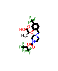 CC(Oc1cc(C(F)(F)F)ccc1CN1CCN(C(=O)OC(C(F)(F)F)C(F)(F)F)CC1)C(=O)O